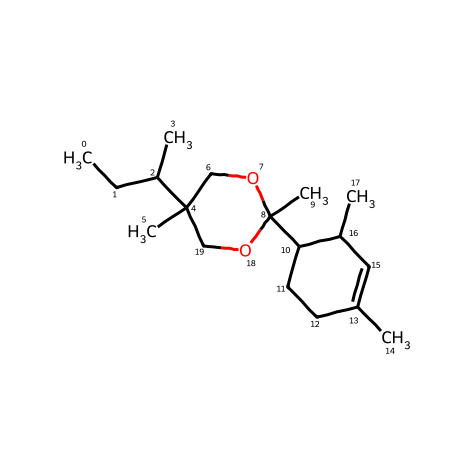 CCC(C)C1(C)COC(C)(C2CCC(C)=CC2C)OC1